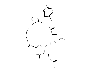 CC[C@H](C)[C@@H]1NN2C[C@@H](NC(=O)[C@@H]2CCC(N)=O)C(=O)CCCN[C@@H](CS)C(=O)N[C@@H](Cc2ccc(O)cc2)C(=O)C1=O